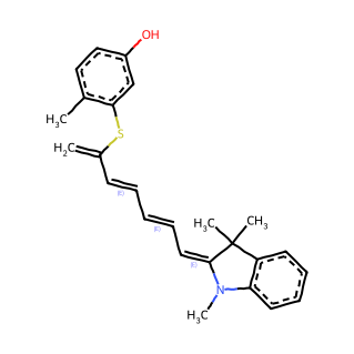 C=C(/C=C/C=C/C=C1/N(C)c2ccccc2C1(C)C)Sc1cc(O)ccc1C